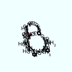 CSCC[C@@H]1NC(=O)[C@@H]2CSCc3cc(cc(c3)OCCCCCCO/N=C/C(=O)NCC(=O)N2)CSC[C@@H](C(N)=O)NC(=O)[C@H](Cc2ccccc2)NC(=O)[C@H](C)NC(=O)[C@H](Cc2ccccc2)NC(=O)[C@H](CC(=O)O)NC(=O)[C@H](CC(=O)O)NC1=O